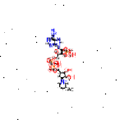 CC(=O)c1ccc[n+](C2CC(COP(=O)(O)OP(=O)(O)OCC3OC(n4cnc5c(N)ncnc54)C4OP(=O)(O)OC34)C(O)C2O)c1